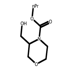 CCCOC(=O)N1CCOCC1CO